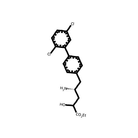 CCOC(=O)C(O)C[C@H](N)Cc1ccc(-c2cc(Cl)ccc2Cl)cc1